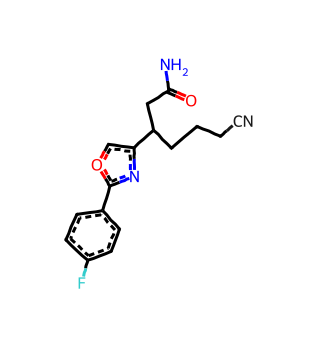 N#CCCCC(CC(N)=O)c1coc(-c2ccc(F)cc2)n1